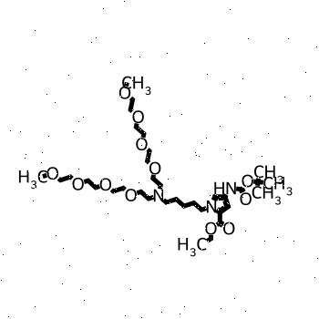 CCOC(=O)c1cc(NC(=O)OC(C)(C)C)cn1CCCCCN(CCOCCOCCOCCOC)CCOCCOCCOCCOC